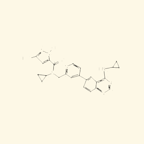 Cc1cc(C(=O)N(Cc2cc(-c3ccc4ncnc(NC5CC5)c4c3)ccn2)C2CC2)n(C)n1